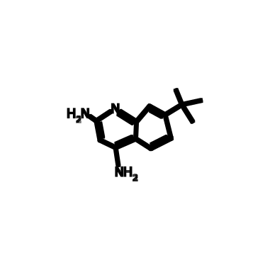 CC(C)(C)c1ccc2c(N)cc(N)nc2c1